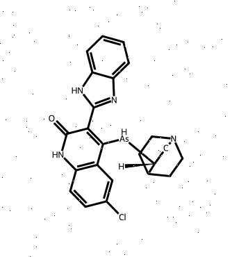 O=c1[nH]c2ccc(Cl)cc2c([AsH][C@@H]2CN3CCC2CC3)c1-c1nc2ccccc2[nH]1